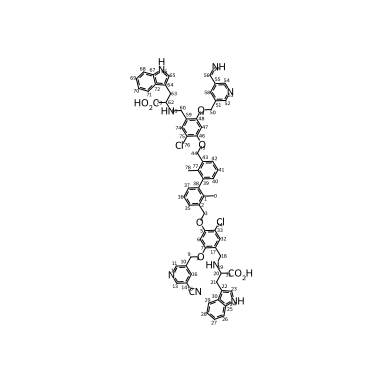 Cc1c(COc2cc(OCc3cncc(C#N)c3)c(CNC(Cc3c[nH]c4ccccc34)C(=O)O)cc2Cl)cccc1-c1cccc(COc2cc(OCc3cncc(C=N)c3)c(CNC(Cc3c[nH]c4ccccc34)C(=O)O)cc2Cl)c1C